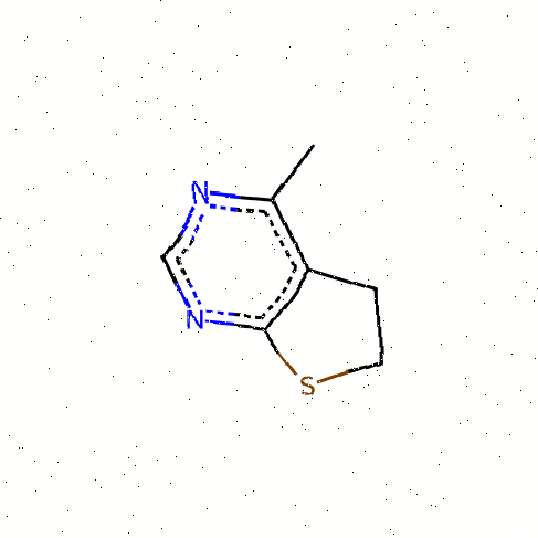 Cc1ncnc2c1CCS2